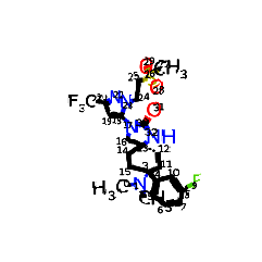 CN(C)[C@]1(c2cccc(F)c2)CC[C@]2(CC1)CN(c1cc(C(F)(F)F)nn1CCS(C)(=O)=O)C(=O)N2